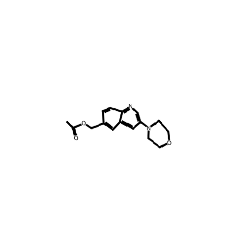 CC(=O)OCc1ccc2ncc(N3CCOCC3)cc2c1